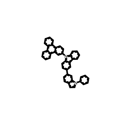 c1ccc(-n2ccc3ccc(-c4ccc5c(c4)c4ccccc4n5-c4ccc5c6ccccc6c6ccccc6c5c4)cc32)cc1